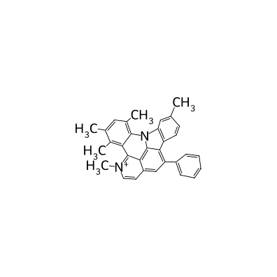 Cc1ccc2c3c(-c4ccccc4)cc4cc[n+](C)c5c6c(C)c(C)cc(C)c6n(c2c1)c3c45